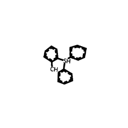 Cc1ccccc1[SH](c1ccccc1)c1ccccc1